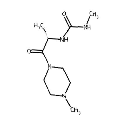 CNC(=O)N[C@@H](C)C(=O)N1CCN(C)CC1